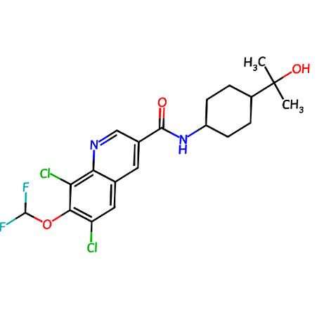 CC(C)(O)C1CCC(NC(=O)c2cnc3c(Cl)c(OC(F)F)c(Cl)cc3c2)CC1